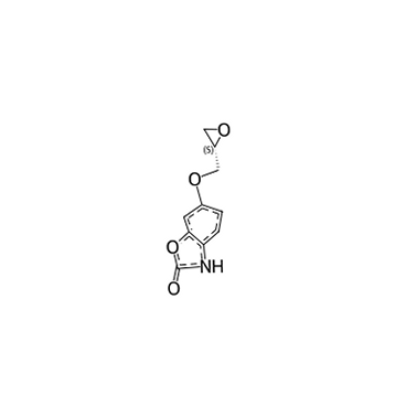 O=c1[nH]c2ccc(OC[C@@H]3CO3)cc2o1